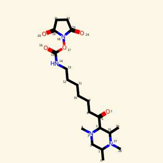 CC1CN(C)C(C(=O)CCCCCCNC(=O)ON2C(=O)CCC2=O)C(C)N1C